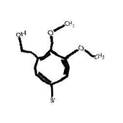 COc1cc(Br)cc(CO)c1OC